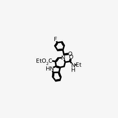 CCNC(=O)C1Cc2c([nH]c3ccccc23)C(C(=O)OCC)=CN1C(=O)c1ccc(F)cc1